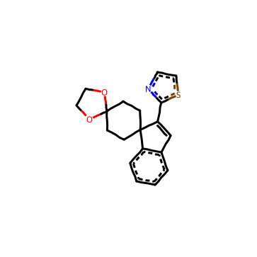 C1=C(c2nccs2)C2(CCC3(CC2)OCCO3)c2ccccc21